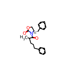 CC(CCCc1ccccc1)C(=O)N1C(=O)OC[C@@H]1Cc1ccccc1